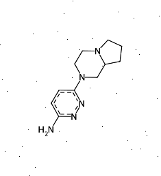 Nc1ccc(N2CCN3CCCC3C2)nn1